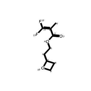 CC(C(=O)OCCC1CCO1)=C(F)F